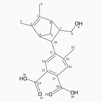 CC1=C(C)C2CC1C(CO)C2c1cc(C(=O)O)c(C(=O)O)cc1C